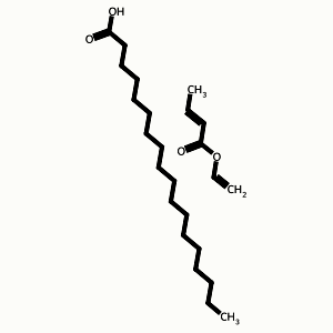 C=COC(=O)C=CC.CCCCCCCCCCCCCCCCCC(=O)O